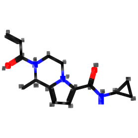 C=CC(=O)N1CCn2c(C(=O)NC3CC3)ccc2C1C